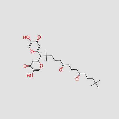 CC(C)(C)CCCC(=O)CCCC(=O)CCCC(C)(C)C(c1cc(=O)c(O)co1)c1cc(=O)c(O)co1